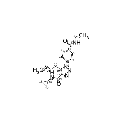 CCNC(=O)c1ccc(-n2nnc(C(=O)NC3CC3)c2CCSC)cc1